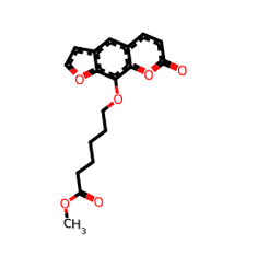 COC(=O)CCCCCOc1c2occc2cc2ccc(=O)oc12